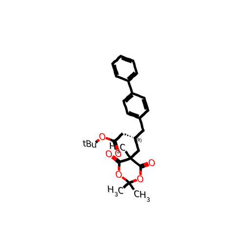 CC(C)(C)OC(=O)C[C@H](Cc1ccc(-c2ccccc2)cc1)CC1(C)C(=O)OC(C)(C)OC1=O